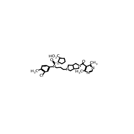 Cc1ccc(N(CCCN2CC3CN(C(=O)c4c(C)ncnc4C)CC3C2)C(=O)[C@H]2CCC[C@H]2C(=O)O)cc1Cl